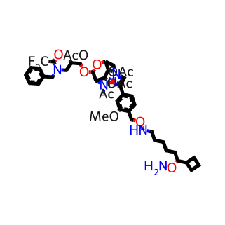 COc1cc(-c2cn3n2N(C(C)=O)C2C(OCC(CN(Cc4ccccc4)C(=O)C(F)(F)F)OC(C)=O)OC(C3)C(OC(C)=O)C2OC(C)=O)ccc1CONCCCCCC(ON)C1CCC1